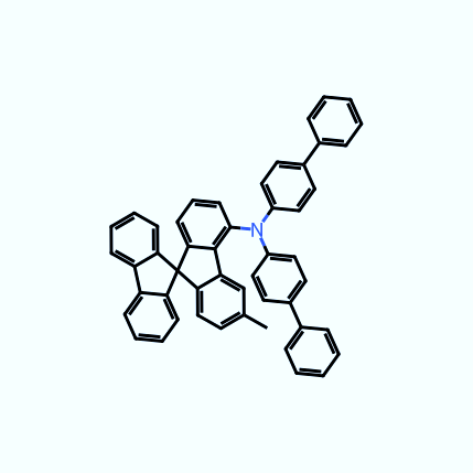 Cc1ccc2c(c1)-c1c(N(c3ccc(-c4ccccc4)cc3)c3ccc(-c4ccccc4)cc3)cccc1C21c2ccccc2-c2ccccc21